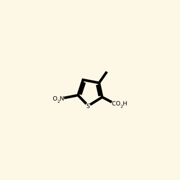 Cc1cc([N+](=O)[O-])sc1C(=O)O